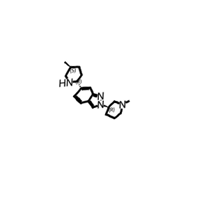 C[C@H]1CC[C@H](c2ccc3cn([C@@H]4CCCN(C)C4)nc3c2)NC1